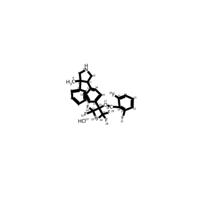 CC1(c2ccccc2)CNCC1c1ccc(C(OCc2c(F)cccc2F)(C(F)(F)F)C(F)(F)F)cc1.Cl